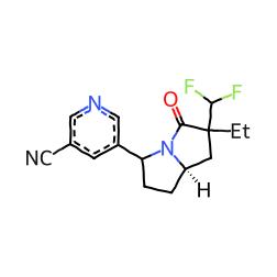 CCC1(C(F)F)C[C@H]2CCC(c3cncc(C#N)c3)N2C1=O